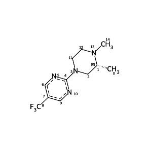 C[C@@H]1CN(c2ncc(C(F)(F)F)cn2)CCN1C